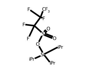 CC(C)[Si](OS(=O)(=O)C(F)(F)C(F)(F)C(F)(F)F)(C(C)C)C(C)C